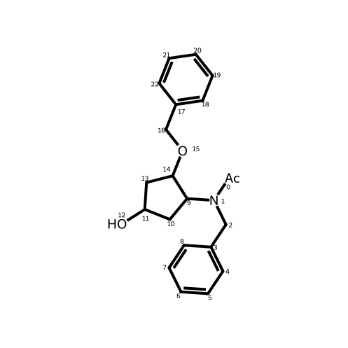 CC(=O)N(Cc1ccccc1)C1CC(O)CC1OCc1ccccc1